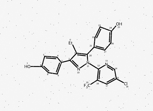 CCc1c(-c2ccc(O)cc2)nn(-c2ncc(Cl)cc2C(F)(F)F)c1-c1ccc(O)cc1